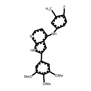 COc1cc(-c2cc3c(Nc4ccc(F)c(C)c4)ccnc3[nH]2)cc(OC)c1OC